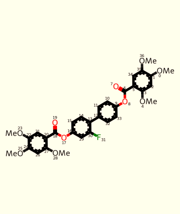 COc1cc(OC)c(C(=O)Oc2ccc(-c3ccc(OC(=O)c4cc(OC)c(OC)cc4OC)cc3F)cc2)cc1OC